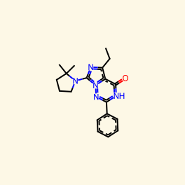 CCc1nc(N2CCCC2(C)C)n2nc(-c3ccccc3)[nH]c(=O)c12